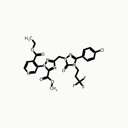 CCOC(=O)c1ccncc1-n1nc(Cn2nc(-c3ccc(Cl)cc3)n(CCC(F)(F)F)c2=O)nc1C(=O)OC